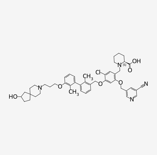 Cc1c(COc2cc(OCc3cncc(C#N)c3)c(CN3CCCC[C@H]3C(=O)O)cc2Cl)cccc1-c1cccc(OCCCN2CCC3(CCC(O)C3)CC2)c1C